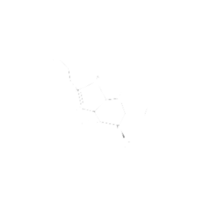 CCCC1=N[C@@H]2[C@@H](O)[C@H](O)[C@@H](CF)O[C@@H]2S1